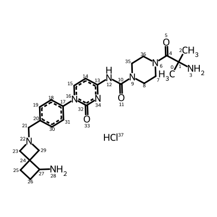 CC(C)(N)C(=O)N1CCN(C(=O)Nc2ccn(-c3ccc(CN4CC5(CCC5N)C4)cc3)c(=O)n2)CC1.Cl